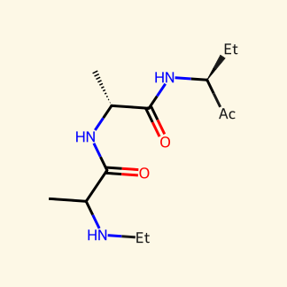 CCNC(C)C(=O)N[C@H](C)C(=O)N[C@@H](CC)C(C)=O